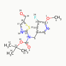 COc1ncc(CN(C(=O)OC(C)(C)C)c2ncc(C=O)s2)cc1F